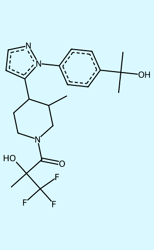 CC1CN(C(=O)C(C)(O)C(F)(F)F)CCC1c1ccnn1-c1ccc(C(C)(C)O)cc1